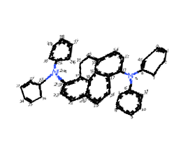 C1=CCCC(N(c2ccccc2)c2ccc3c4c2ccc2ccc(N(c5ccccc5)C5C=CC=CC5)c(c24)CC3)=C1